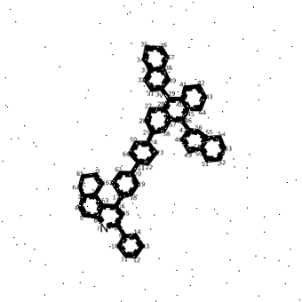 C1=Cc2c(ccc3nc(-c4ccccc4)cc(-c4ccc(-c5ccc(-c6ccc7c(-c8ccc9ccccc9c8)c8ccccc8c(-c8ccc9ccccc9c8)c7c6)cc5)cc4)c23)CC1